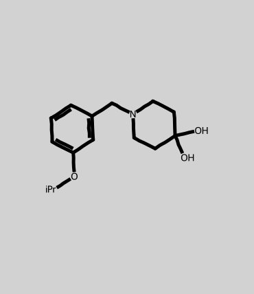 CC(C)Oc1cccc(CN2CCC(O)(O)CC2)c1